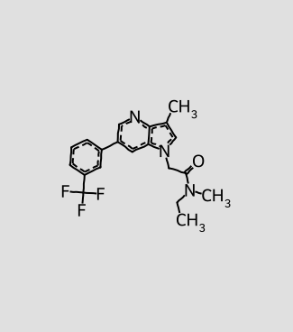 CCN(C)C(=O)Cn1cc(C)c2ncc(-c3cccc(C(F)(F)F)c3)cc21